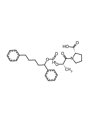 C[C@H](O[PH](=O)OC(CCCCc1ccccc1)c1ccccc1)C(=O)N1CCC[C@H]1C(=O)O